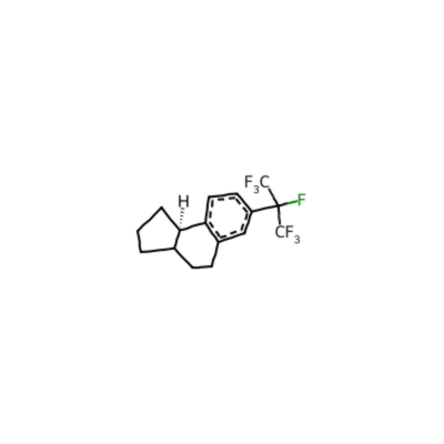 FC(F)(F)C(F)(c1ccc2c(c1)CCC1CCC[C@@H]21)C(F)(F)F